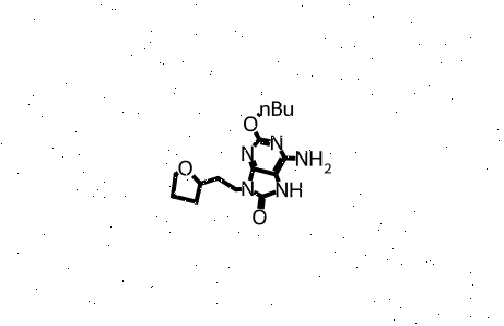 CCCCOc1nc(N)c2[nH]c(=O)n(CCC3CCCO3)c2n1